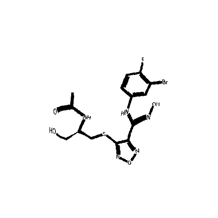 CC(=O)N[C@H](CO)CSc1nonc1/C(=N/O)Nc1ccc(F)c(Br)c1